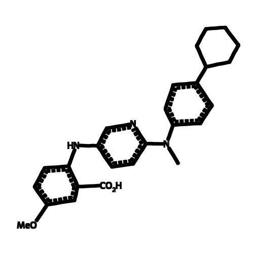 COc1ccc(Nc2ccc(N(C)c3ccc(C4CCCCC4)cc3)nc2)c(C(=O)O)c1